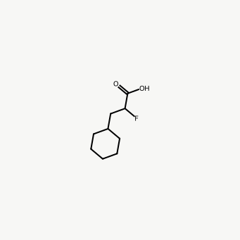 O=C(O)C(F)CC1CCCCC1